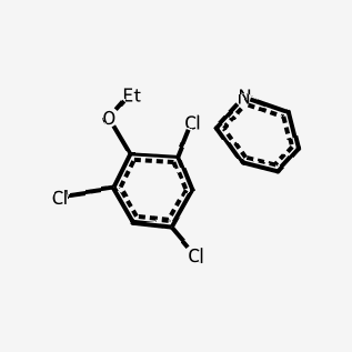 CCOc1c(Cl)cc(Cl)cc1Cl.c1ccncc1